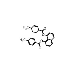 Cc1ccc(C(=O)Oc2cccc3cccc(OC(=O)C4C=CC(C)CC4)c23)cc1